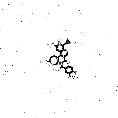 COc1cc(C(C)NC(=O)c2cnc3c(C4CC4)[n+]([O-])c(C)cc3c2N2CCN[C@@H](C)CC2)ccc1F